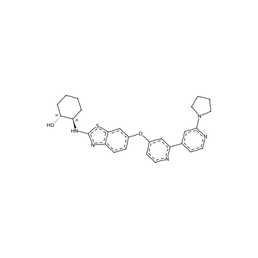 O[C@@H]1CCCC[C@H]1Nc1nc2ccc(Oc3ccnc(-c4ccnc(N5CCCC5)c4)c3)cc2s1